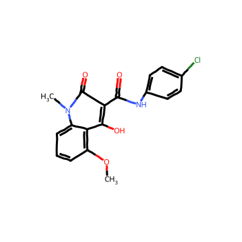 COc1cccc2c1c(O)c(C(=O)Nc1ccc(Cl)cc1)c(=O)n2C